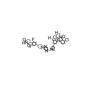 CC1(C)c2ccc(-c3cnn(Cc4cnc(N5CCC(c6cc(F)c(C7CCC(=O)NC7=O)c(F)c6)CC5)cn4)c3)cc2-n2c1nc(=O)c1c(Cl)cccc12